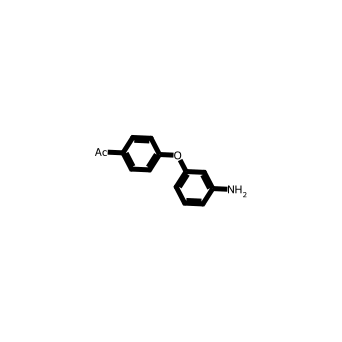 CC(=O)c1ccc(Oc2cccc(N)c2)cc1